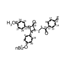 CCCCOc1ccc([C@@H]2[C@@H](CCC(=O)c3ccc(F)cc3)C(=O)N2c2ccc(C)cc2)cc1